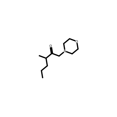 CCCC(C)C(=O)CN1CCOCC1